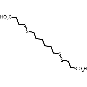 O=C(O)CCSSCCCCCCSSCCC(=O)O